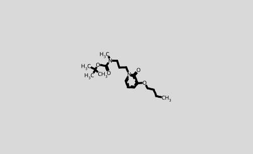 CCCCOc1cccn(CCCN(C)C(=O)OC(C)(C)C)c1=O